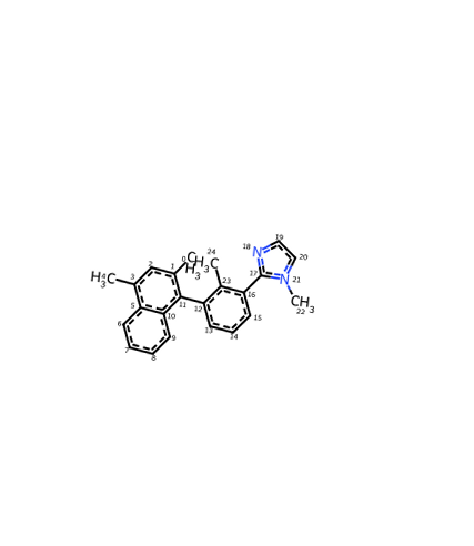 Cc1cc(C)c2ccccc2c1-c1cccc(-c2nccn2C)c1C